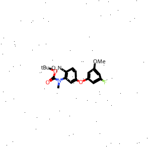 COc1cc(F)cc(Oc2ccc([N+](=O)[O-])c(N(C)C(=O)OC(C)(C)C)c2)c1